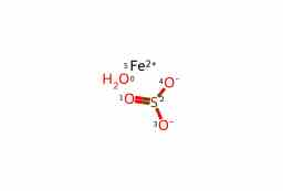 O.O=S([O-])[O-].[Fe+2]